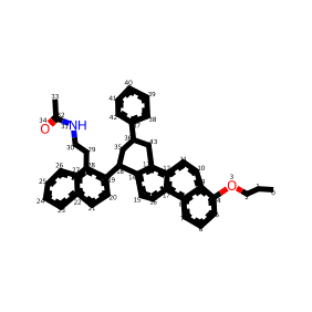 CCCOc1cccc2c1ccc1c3c(ccc12)C(c1ccc2ccccc2c1CCNC(C)=O)CC(c1ccccc1)C3